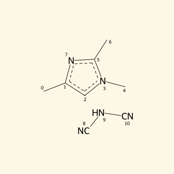 Cc1cn(C)c(C)n1.N#CNC#N